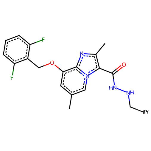 Cc1cc(OCc2c(F)cccc2F)c2nc(C)c(C(=O)NNCC(C)C)n2c1